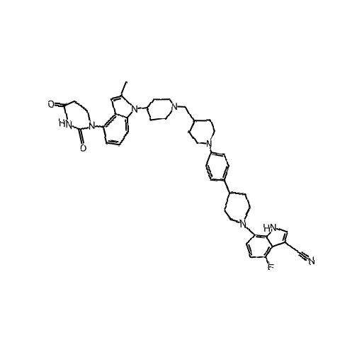 Cc1cc2c(N3CCC(=O)NC3=O)cccc2n1C1CCN(CC2CCN(c3ccc(C4CCN(c5ccc(F)c6c(C#N)c[nH]c56)CC4)cc3)CC2)CC1